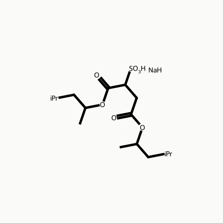 CC(C)CC(C)OC(=O)CC(C(=O)OC(C)CC(C)C)S(=O)(=O)O.[NaH]